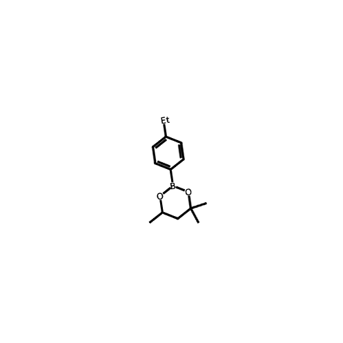 CCc1ccc(B2OC(C)CC(C)(C)O2)cc1